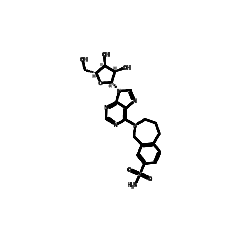 NS(=O)(=O)c1ccc2c(c1)CN(c1ncnc3c1ncn3[C@@H]1O[C@H](CO)[C@@H](O)[C@H]1O)CCC2